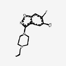 CCN1CCN(c2noc3cc(F)c(Cl)cc23)CC1